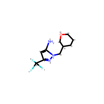 Nc1cc(C(F)(F)F)nn1CC1CCCOC1